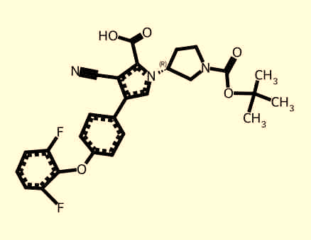 CC(C)(C)OC(=O)N1CC[C@@H](n2cc(-c3ccc(Oc4c(F)cccc4F)cc3)c(C#N)c2C(=O)O)C1